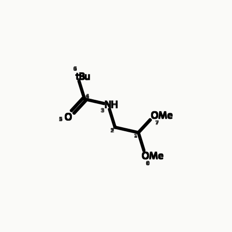 COC(CNC(=O)C(C)(C)C)OC